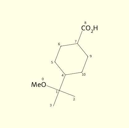 COC(C)(C)C1CCC(C(=O)O)CC1